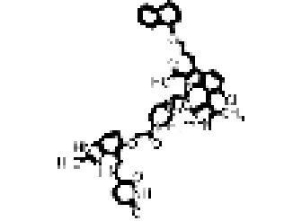 Cc1nc2c(CNC3CCC(=O)NC3=O)c(OCC(=O)N3CCN(CCn4c(C(=O)O)c(CCCOc5cccc6ccccc56)c5ccc(Cl)c(-c6c(C)nn(C)c6C)c54)CC3)ccc2[nH]1